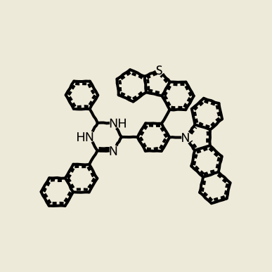 c1ccc(C2NC(c3ccc4ccccc4c3)=NC(c3ccc(-n4c5ccccc5c5cc6ccccc6cc54)c(-c4cccc5sc6ccccc6c45)c3)N2)cc1